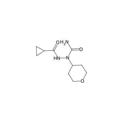 NC(=O)N(NC(=O)C1CC1)C1CCOCC1